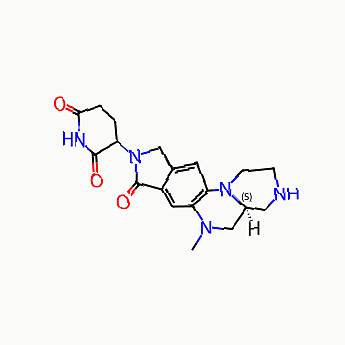 CN1C[C@@H]2CNCCN2c2cc3c(cc21)C(=O)N(C1CCC(=O)NC1=O)C3